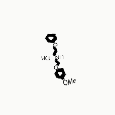 COc1ccc(OCCNCCCOc2ccccc2)cc1.Cl